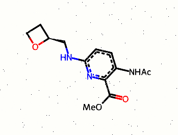 COC(=O)c1nc(NC[C@@H]2CCO2)ccc1NC(C)=O